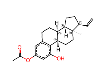 C=C[C@@H]1CC[C@H]2[C@@H]3CCc4cc(OC(C)=O)cc(O)c4[C@H]3CC[C@]12C